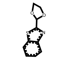 c1ccc2sc([C]3OCCO3)nc2c1